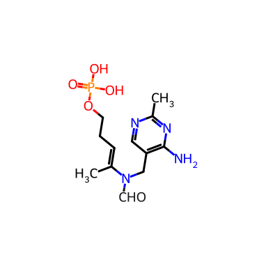 CC(=CCCOP(=O)(O)O)N(C=O)Cc1cnc(C)nc1N